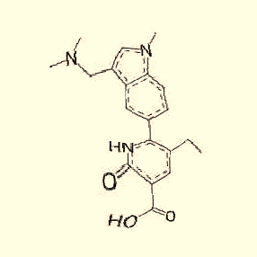 CCc1cc(C(=O)O)c(=O)[nH]c1-c1ccc2c(c1)c(CN(C)C)cn2C